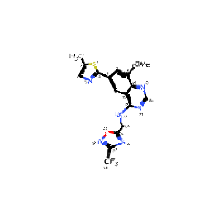 COc1cc(-c2ncc(C)s2)cc2c(NCc3nc(C(F)(F)F)no3)ncnc12